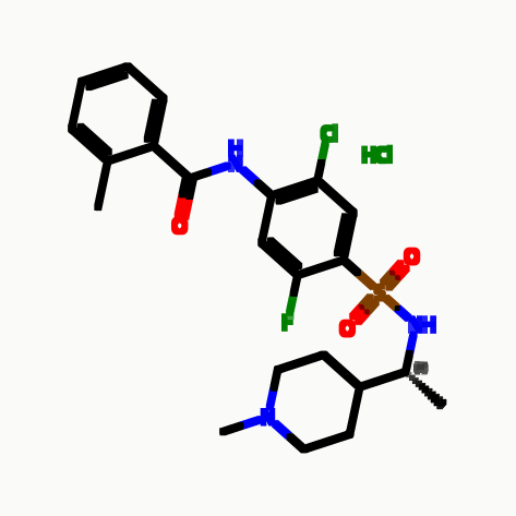 Cc1ccccc1C(=O)Nc1cc(F)c(S(=O)(=O)N[C@H](C)C2CCN(C)CC2)cc1Cl.Cl